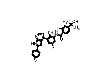 Cc1c(NC(=O)c2ccc(C(C)(C)O)cc2F)cc(F)cc1-c1ncnc2[nH]c(-c3ccc(C(C)C)cc3)cc12